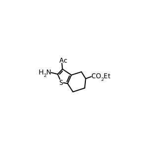 CCOC(=O)C1CCc2sc(N)c(C(C)=O)c2C1